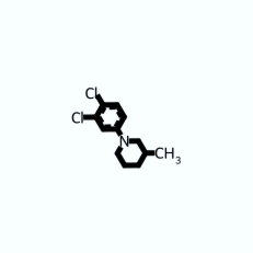 CC1CCCN(c2ccc(Cl)c(Cl)c2)C1